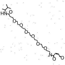 CC(C)C(C)NC(=O)CCOCCOCCOCCOCCOCCOCCN(C)C(=O)/C=C\C=O